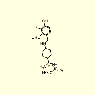 CC(C)[C@@H](N[C@@H](C)C1CCC(NCc2ccc(O)c(F)c2C=O)CC1)C(=O)O